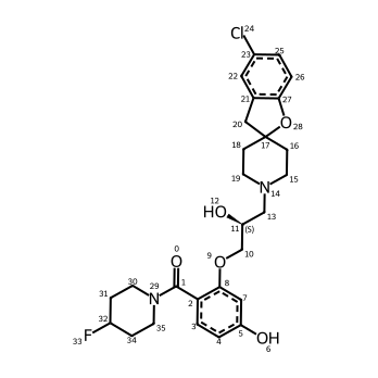 O=C(c1ccc(O)cc1OC[C@@H](O)CN1CCC2(CC1)Cc1cc(Cl)ccc1O2)N1CCC(F)CC1